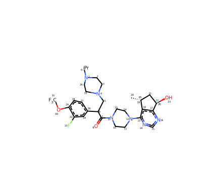 CC(C)N1CCN(CC(C(=O)N2CCN(c3ncnc4c3[C@H](C)C[C@H]4O)CC2)c2ccc(OC(F)(F)F)c(F)c2)CC1